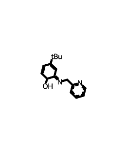 CC(C)(C)C1=C/C(=N\Cc2ccccn2)C(O)C=C1